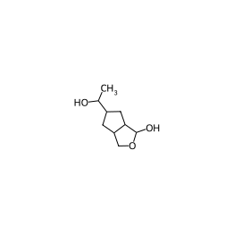 CC(O)C1CC2COC(O)C2C1